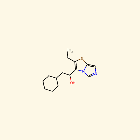 CCc1sc2cncn2c1C(O)CC1CCCCC1